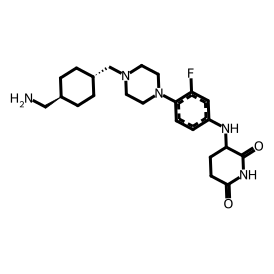 NC[C@H]1CC[C@H](CN2CCN(c3ccc(NC4CCC(=O)NC4=O)cc3F)CC2)CC1